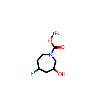 CC(C)(C)OC(=O)N1CCC(F)CC(O)C1